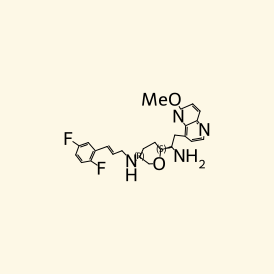 COc1ccc2nccc(CC(N)[C@@H]3CC[C@@H](NCC=Cc4cc(F)ccc4F)CO3)c2n1